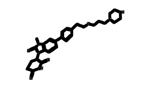 Cn1c(=O)n(C2CCC(=O)NC2=O)c2ccc(-c3ccc(CCOCCCN4CCNCC4)cc3)cc21